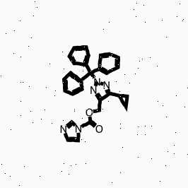 O=C(OCc1nn(C(c2ccccc2)(c2ccccc2)c2ccccc2)nc1C1CC1)n1ccnc1